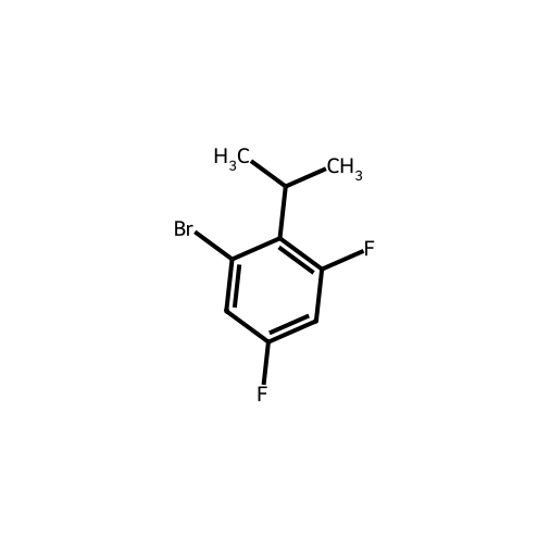 CC(C)c1c(F)cc(F)cc1Br